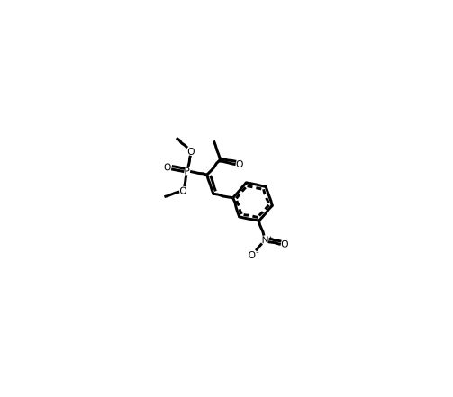 COP(=O)(OC)/C(=C/c1cccc([N+](=O)[O-])c1)C(C)=O